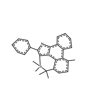 Cc1ccc2c3c1c1ccccc1c1nc(-c4ccccc4)c(n13)[Si](C)(C)C2(C)C